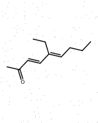 CCC/C=C(/C=C/C(C)=O)CC